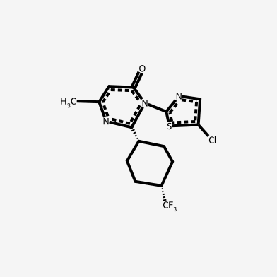 Cc1cc(=O)n(-c2ncc(Cl)s2)c([C@H]2CC[C@@H](C(F)(F)F)CC2)n1